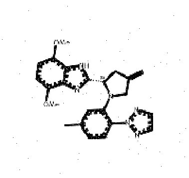 C=C1C[C@@H](c2nc3c(OC)ccc(OC)c3[nH]2)N(c2cc(C)c[c]c2-n2nccn2)C1